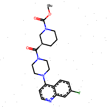 CC(C)(C)OC(=O)N1CCC[C@@H](C(=O)N2CCN(c3ccnc4cc(F)ccc34)CC2)C1